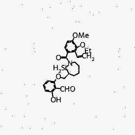 C=Cc1c(C(=O)N2CCCC[C@@H](COc3cccc(O)c3C=O)[SiH2]2)ccc(OC)c1OCC